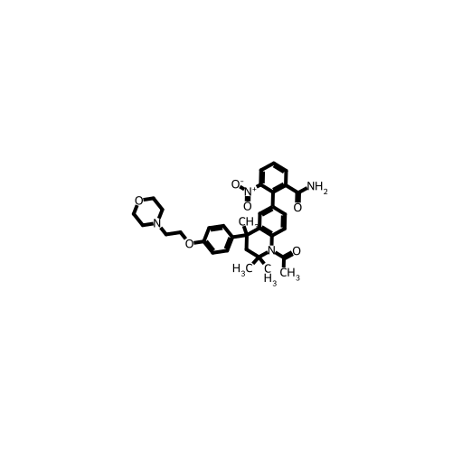 CC(=O)N1c2ccc(-c3c(C(N)=O)cccc3[N+](=O)[O-])cc2C(C)(c2ccc(OCCN3CCOCC3)cc2)CC1(C)C